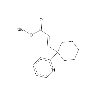 CC(C)(C)OC(=O)C=CC1(c2ccccn2)CCCCC1